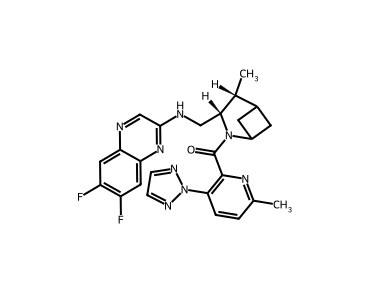 Cc1ccc(-n2nccn2)c(C(=O)N2C3CC(C3)[C@@H](C)[C@H]2CNc2cnc3cc(F)c(F)cc3n2)n1